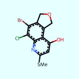 CSc1cc(O)c2c3c(c(Br)c(Cl)c2n1)COC3